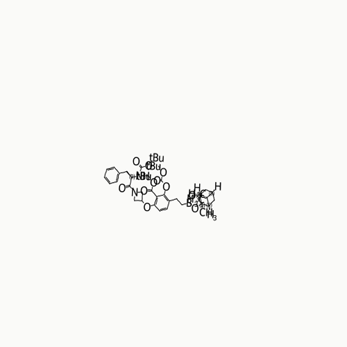 CC(C)(C)OC(=O)N[C@H](Cc1ccccc1)C(=O)N1CC(Oc2ccc(CCB3O[C@@H]4C[C@@H]5C[C@@H](C5(C)C)[C@]4(C)O3)c(OC(=O)OC(C)(C)C)c2C(=O)OC(C)(C)C)C1